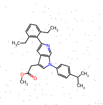 CCc1cccc(CC)c1-c1cc2c(CC(=O)OC)cn(-c3ccc(C(C)C)cc3)c2cn1